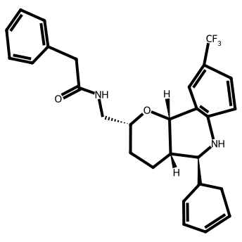 O=C(Cc1ccccc1)NC[C@H]1CC[C@@H]2[C@H](O1)c1cc(C(F)(F)F)ccc1N[C@H]2C1C=CC=CC1